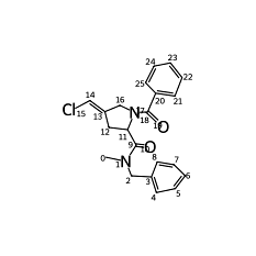 CN(Cc1ccccc1)C(=O)C1C/C(=C\Cl)CN1C(=O)c1ccccc1